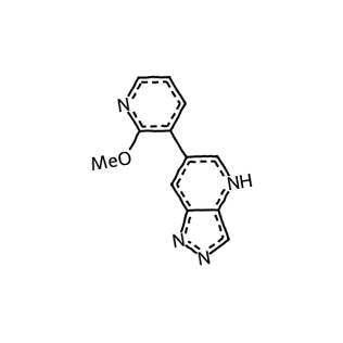 COc1ncccc1-c1c[nH]c2cnnc-2c1